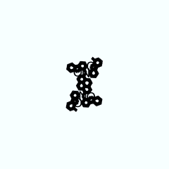 Cc1cccc2c1oc1c(N(c3ccc4ccc5c(N(c6cccc7c6oc6ccccc67)c6cccc7c6oc6c(C)cccc67)ccc6ccc3c4c65)c3cccc4c3oc3ccccc34)cccc12